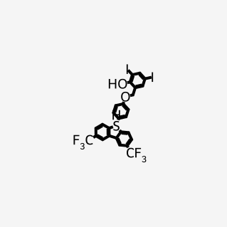 Oc1c(I)cc(I)cc1COc1ccc([SH]2c3ccc(C(F)(F)F)cc3-c3cc(C(F)(F)F)ccc32)cc1